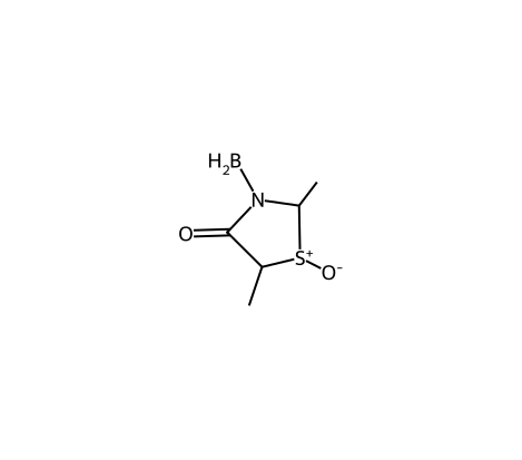 BN1C(=O)C(C)[S+]([O-])C1C